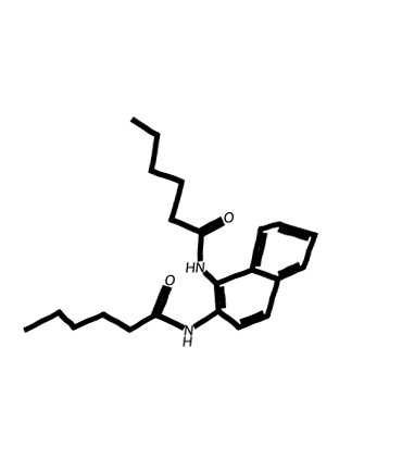 CCCCCC(=O)Nc1ccc2ccccc2c1NC(=O)CCCCC